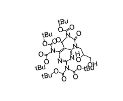 CC(C)(C)OC(=O)N(C(=O)OC(C)(C)C)c1nc(N(C(=O)OC(C)(C)C)C(=O)OC(C)(C)C)c2c(=O)n(C(=O)OC(C)(C)C)c(=O)n(CC(O)CO)c2n1